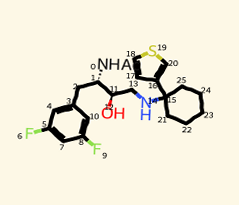 CC(=O)N[C@@H](Cc1cc(F)cc(F)c1)[C@H](O)CNC1(c2ccsc2)CCCCC1